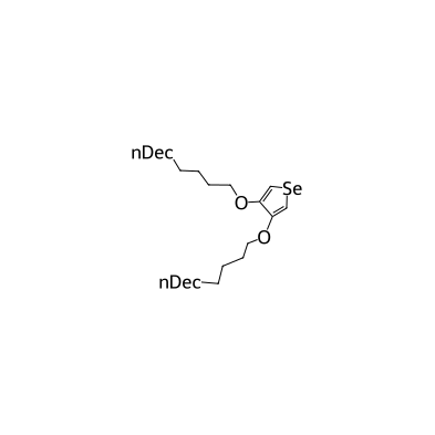 CCCCCCCCCCCCCCOc1c[se]cc1OCCCCCCCCCCCCCC